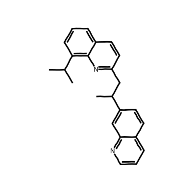 CC(C)c1cccc2ccc(CC(C)c3ccc4cccnc4c3)nc12